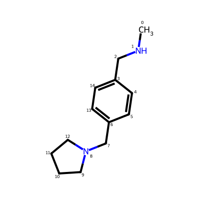 CNCc1ccc(CN2CCCC2)cc1